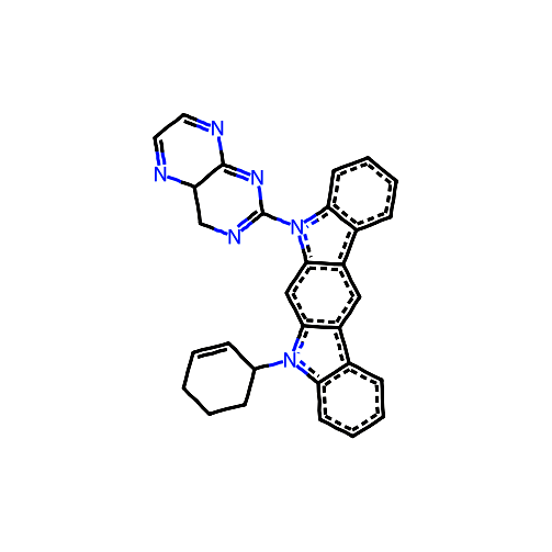 C1=CC(n2c3ccccc3c3cc4c5ccccc5n(C5=NCC6N=CC=NC6=N5)c4cc32)CCC1